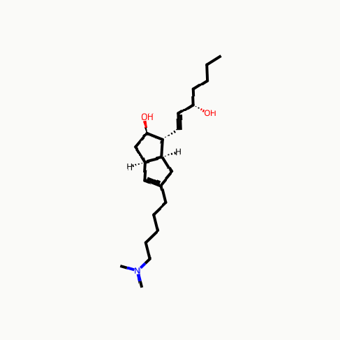 CCCC[C@H](O)/C=C/[C@@H]1[C@H]2CC(CCCCCN(C)C)=C[C@H]2C[C@H]1O